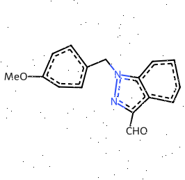 COc1ccc(Cn2nc(C=O)c3ccccc32)cc1